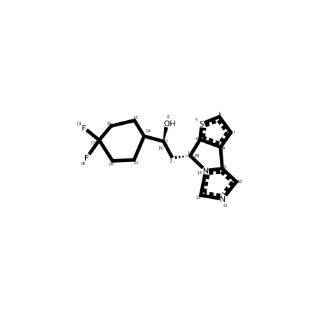 O[C@@H](C[C@@H]1c2sccc2-c2cncn21)C1CCC(F)(F)CC1